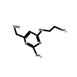 COCc1cc(NCCN)nc(N)n1